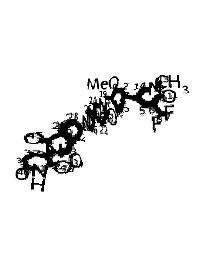 COc1cc(-c2cc(C(F)F)c(=O)n(C)c2)cc(OC)c1CN1CCC2(C1)CN(c1ccc3c(c1)C(=O)N(C1CCC(=O)NC1=O)C3=O)C2